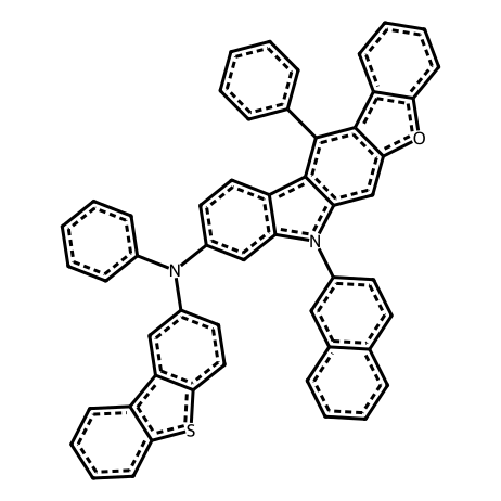 c1ccc(-c2c3c(cc4c2c2ccc(N(c5ccccc5)c5ccc6sc7ccccc7c6c5)cc2n4-c2ccc4ccccc4c2)oc2ccccc23)cc1